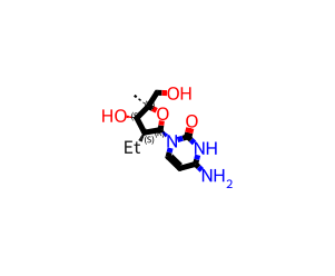 CC[C@@H]1[C@H](N2C=CC(N)NC2=O)O[C@](C)(CO)[C@H]1O